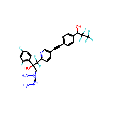 N/N=C\N(N)CC(O)(c1ccc(F)cc1F)C(F)(F)c1ccc(C#Cc2ccc(C(O)C(F)(F)C(F)(F)F)cc2)cn1